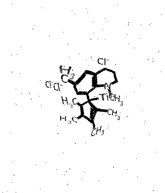 CC1=C(C)[C]([Ti+3])(c2cc(C)cc3c2N(C)CCC3)C(C)=C1C.[Cl-].[Cl-].[Cl-]